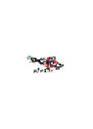 COC(=O)CCN(C1(C(=O)OCc2ccccc2)CCCC1)S(=O)(=O)c1ccc(-c2ccc(F)cc2)cc1